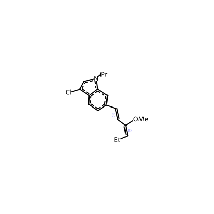 CC/C=C(\C=C\c1ccc2c(Cl)cn(C(C)C)c2c1)OC